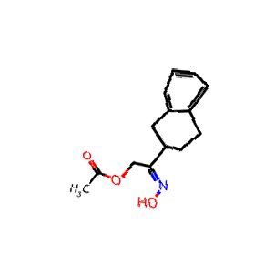 CC(=O)OCC(=NO)C1CCc2ccccc2C1